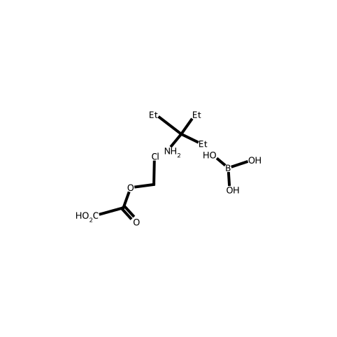 CCC(N)(CC)CC.O=C(O)C(=O)OCCl.OB(O)O